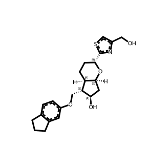 OCc1csc([C@H]2CC[C@@H]3[C@@H](COc4ccc5c(c4)CCC5)[C@H](O)C[C@@H]3O2)n1